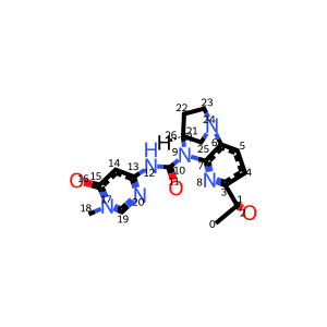 CC(=O)c1ccc2c(n1)N(C(=O)Nc1cc(=O)n(C)cn1)[C@H]1CCN2C1